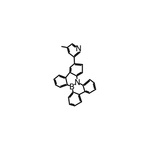 Cc1cncc(-c2ccc3c(c2)-c2ccccc2B2c4ccccc4-c4ccccc4N23)c1